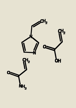 C=CC(=O)O.C=CC(N)=O.C=Cn1ccnc1